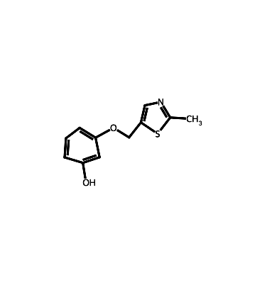 Cc1ncc(COc2cccc(O)c2)s1